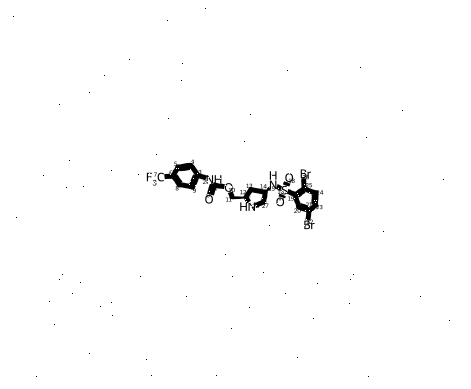 O=C(Nc1ccc(C(F)(F)F)cc1)OC[C@H]1C[C@@H](NS(=O)(=O)c2cc(Br)ccc2Br)CN1